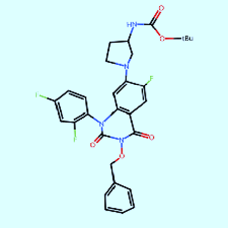 CC(C)(C)OC(=O)NC1CCN(c2cc3c(cc2F)c(=O)n(OCc2ccccc2)c(=O)n3-c2ccc(F)cc2F)C1